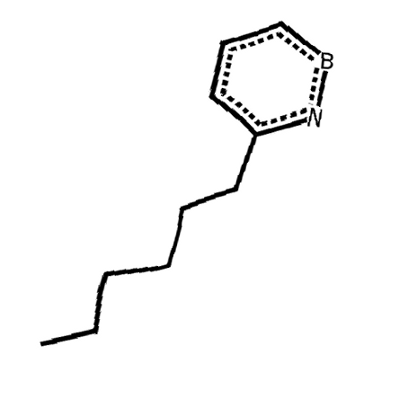 CCCCCCc1cccbn1